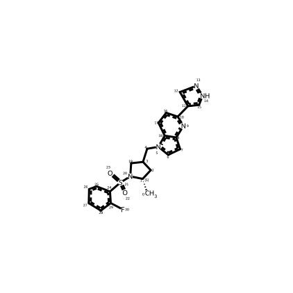 C[C@H]1CC(Cn2ccc3nc(-c4cn[nH]c4)ccc32)CN1S(=O)(=O)c1ccccc1F